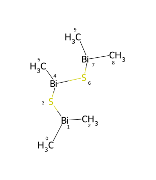 [CH3][Bi]([CH3])[S][Bi]([CH3])[S][Bi]([CH3])[CH3]